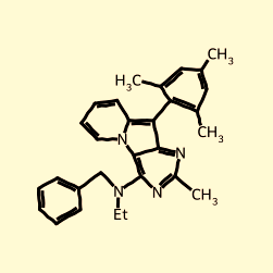 CCN(Cc1ccccc1)c1nc(C)nc2c(-c3c(C)cc(C)cc3C)c3ccccn3c12